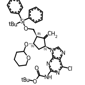 C=C1[C@H](CO[Si](c2ccccc2)(c2ccccc2)C(C)(C)C)[C@@H](OC2CCCCO2)C[C@@H]1n1cnc2c(Cl)nc(NC(=O)OC(C)(C)C)nc21